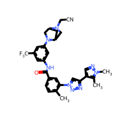 Cc1ccc(C(=O)Nc2cc(N3CC4CC3CN4CC#N)cc(C(F)(F)F)c2)cc1-n1cc(-c2cnn(C)c2C)nn1